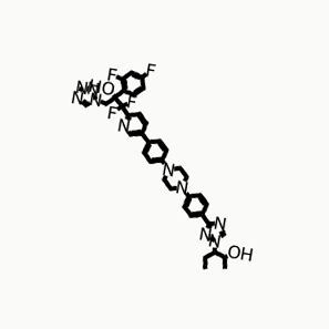 CCC(C(C)O)n1cnc(-c2ccc(N3CCN(c4ccc(-c5ccc(C(F)(F)C(O)(Cn6cnnn6)c6ccc(F)cc6F)nc5)cc4)CC3)cc2)n1